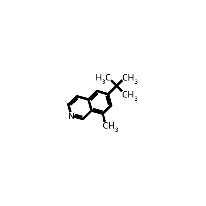 Cc1cc(C(C)(C)C)cc2ccncc12